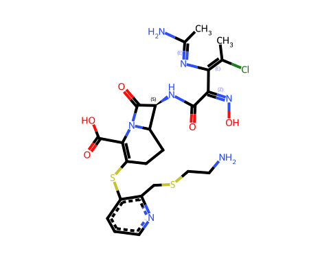 C\C(N)=N/C(C(=N/O)/C(=O)N[C@@H]1C(=O)N2C(C(=O)O)=C(Sc3cccnc3CSCCN)CCC12)=C(\C)Cl